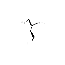 CC=CC(=CCC)CCCC